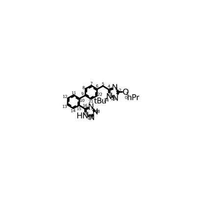 CCCOc1nc(Cc2ccc(-c3ccccc3-c3nnn[nH]3)cc2)n(C(C)(C)C)n1